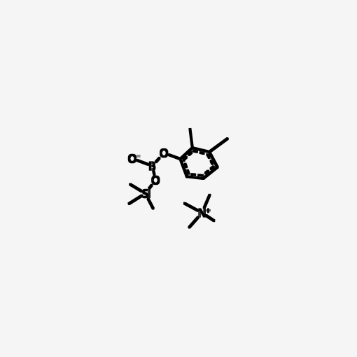 C[N+](C)(C)C.Cc1cccc(OB([O-])O[Si](C)(C)C)c1C